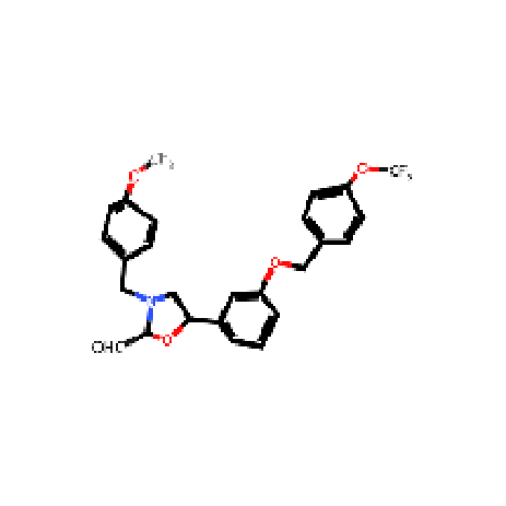 O=CC1OC(c2cccc(OCc3ccc(OC(F)(F)F)cc3)c2)CN1Cc1ccc(OC(F)(F)F)cc1